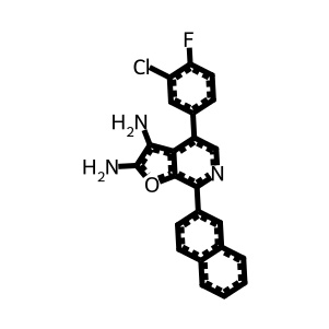 Nc1oc2c(-c3ccc4ccccc4c3)ncc(-c3ccc(F)c(Cl)c3)c2c1N